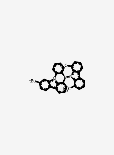 Cc1cccc2c3cccc(C)c3n(B3c4ccccc4-n4c5cc(C(C)(C)C)ccc5c5cccc3c54)c12